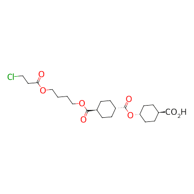 O=C(CCCl)OCCCCOC(=O)[C@H]1CC[C@H](C(=O)O[C@H]2CC[C@H](C(=O)O)CC2)CC1